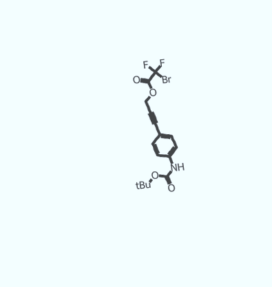 CC(C)(C)OC(=O)Nc1ccc(C#CCOC(=O)C(F)(F)Br)cc1